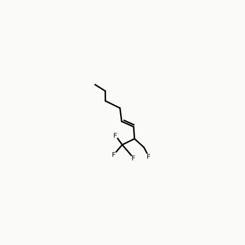 CCCCC=CC(CF)C(F)(F)F